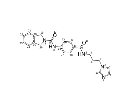 O=C(NCCCn1ccnc1)c1ccc(NC(=O)N2Cc3ccccc3C2)cc1